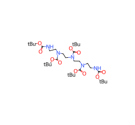 CC(C)(C)OC(=O)NCCN(CCN(CCN(CCNC(=O)OC(C)(C)C)C(=O)OC(C)(C)C)C(=O)OC(C)(C)C)C(=O)OC(C)(C)C